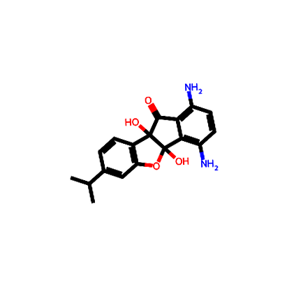 CC(C)c1ccc2c(c1)OC1(O)c3c(N)ccc(N)c3C(=O)C21O